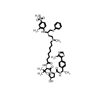 Cc1cc(S(N)(=O)=O)ccc1N[C@H](CCN(C)CCCCCCCC(=O)N[C@H](C(=O)N1C[C@H](O)C[C@H]1C(=O)N[C@@H](C)c1ccc(-c2scnc2C)cc1)C(C)(C)C)CSc1ccccc1